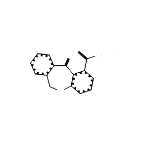 C=C(C(=O)O)c1cccc2c1C(=O)c1ccccc1CO2